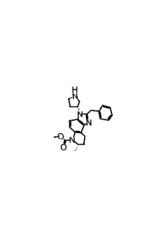 COC(=O)N1c2ccc3c(nc(Cc4ccccc4)n3[C@@H]3CCNC3)c2CC[C@@H]1C